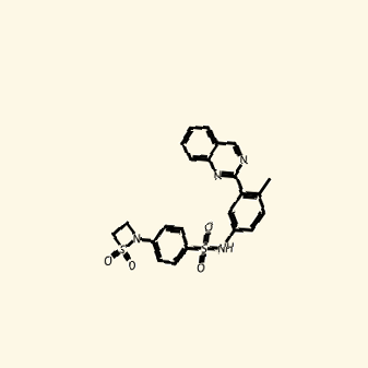 Cc1ccc(NS(=O)(=O)c2ccc(N3CCS3(=O)=O)cc2)cc1-c1ncc2ccccc2n1